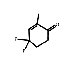 O=C1CCC(F)(F)C=C1I